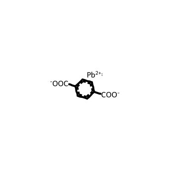 O=C([O-])c1ccc(C(=O)[O-])cc1.[Pb+2]